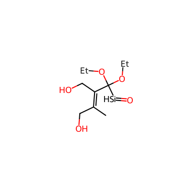 CCOC(OCC)([SiH]=O)C(CO)=C(C)CO